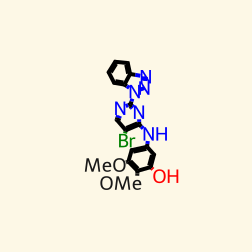 COc1cc(Nc2nc(-n3nnc4ccccc43)ncc2Br)cc(O)c1OC